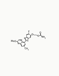 COc1cnc2c(-c3nc4cc(F)c(OCCOC(N)=O)cc4s3)cc(C)cc2n1